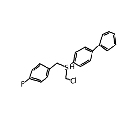 Fc1ccc(C[SiH](CCl)c2ccc(-c3ccccc3)cc2)cc1